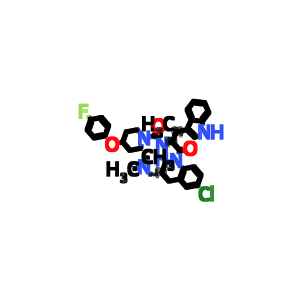 C[C@@H](c1c[nH]c2ccccc12)[C@@H](NC(=O)N1CCC(Oc2ccc(F)cc2)CC1)C(=O)N1C[C@@H](CN(C)C)Cc2cc(Cl)ccc21